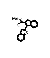 COC(=O)C1=C(c2cc3ccccc3s2)c2ccccc2C1